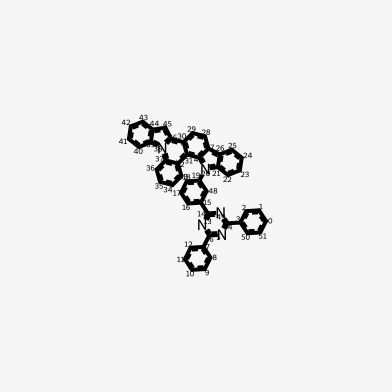 c1ccc(-c2nc(-c3ccccc3)nc(-c3cccc(-n4c5ccccc5c5ccc6c(c7ccccc7n7c8ccccc8cc67)c54)c3)n2)cc1